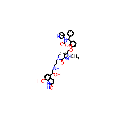 CCN(CCCNCC(O)c1ccc(O)c2[nH]c(=O)ccc12)C(=O)c1cc(COc2cccc([C@H](c3ccccc3)N(C(=O)O)C3CN4CCC3CC4)c2)n(C)n1